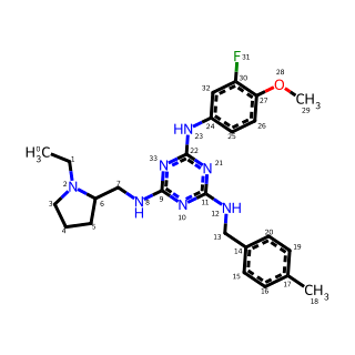 CCN1CCCC1CNc1nc(NCc2ccc(C)cc2)nc(Nc2ccc(OC)c(F)c2)n1